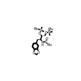 CC(C)(C)[S+]([O-])N[C@@H](Cc1ccc2c(c1)OCO2)[C@@H](CO[Si](C)(C)C(C)(C)C)O[Si](C)(C)C(C)(C)C